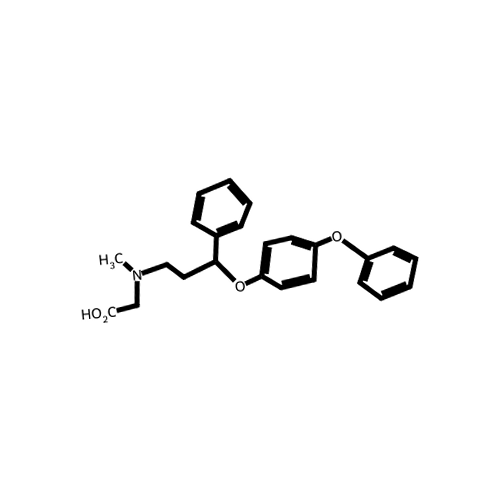 CN(CCC(Oc1ccc(Oc2ccccc2)cc1)c1ccccc1)CC(=O)O